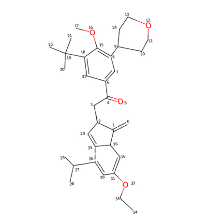 C=C1C(CC(=O)c2cc(C3CCOCC3)c(OC)c(C(C)(C)C)c2)C=C2C(C(C)C)=CC(OCC)=CC12